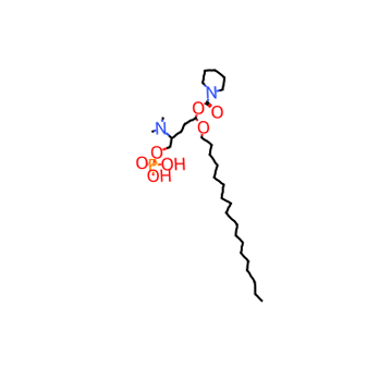 CCCCCCCCCCCCCCCCCCOC(CCC(COP(=O)(O)O)N(C)C)OC(=O)N1CCCCC1